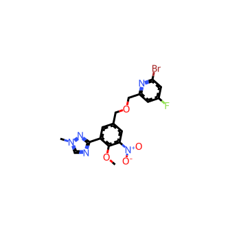 COc1c(-c2ncn(C)n2)cc(COCc2cc(F)cc(Br)n2)cc1[N+](=O)[O-]